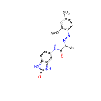 COc1cc([N+](=O)[O-])ccc1N=NC(C(C)=O)C(=O)Nc1ccc2[nH]c(=O)[nH]c2c1